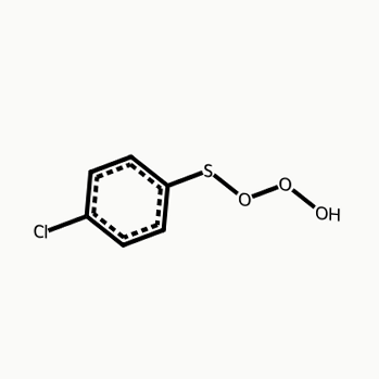 OOOSc1ccc(Cl)cc1